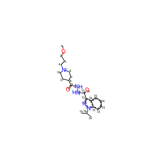 COCCCN1CCC(C(=O)NNC(=O)c2nn(C(C)C)c3ccccc23)CC1